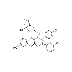 C[C@@H](CCN1SCCC1(O)O)N1C(=O)[C@H](Cc2cccc(O)n2)C[C@H](c2cccc(Cl)c2)[C@H]1c1ccc(Cl)cc1